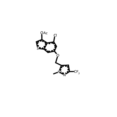 CC(=O)Oc1csc2cc(OCc3cc(C(F)(F)F)nn3C)cc(Cl)c12